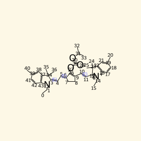 CCN1/C(=C/C=C2\CCC(/C=C/C3=[N+](CC)c4ccc(C)cc4C3(C)C)=C2OC(=O)OC(C)C)C(C)(C)c2cc(C)ccc21